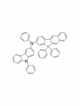 c1ccc(N(c2ccc3c(c2)C(c2ccccc2)(c2ccccc2)c2cc4ccccc4cc2-3)c2ccc3c(c2)c2ccccc2n3-c2ccccc2)cc1